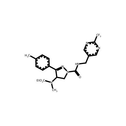 CCOC(=O)N(C)C1CN(C(=O)NCc2cnc(C(F)(F)F)nc2)N=C1c1ccc(C)cc1